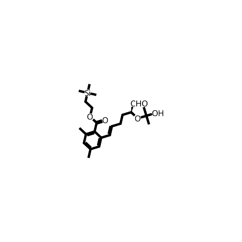 Cc1cc(C)c(C(=O)OCC[Si](C)(C)C)c(/C=C/CC[C@@H](C=O)OC(C)(C)O)c1